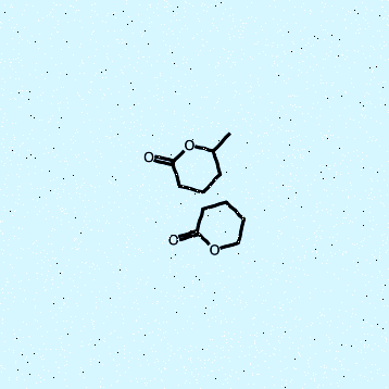 CC1CCCC(=O)O1.O=C1CCCCO1